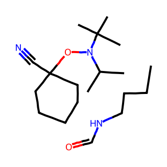 CC(C)N(OC1(C#N)CCCCC1)C(C)(C)C.CCCCNC=O